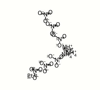 O=[N+]([O-])[O-].O=[N+]([O-])[O-].O=[N+]([O-])[O-].O=[N+]([O-])[O-].O=[N+]([O-])[O-].O=[N+]([O-])[O-].[NH4+].[NH4+].[NH4+].[NH4+].[Pt+2]